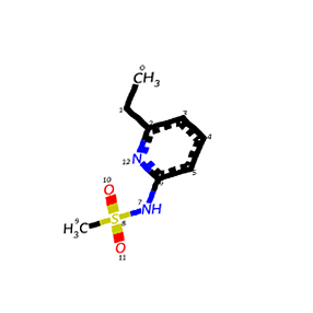 CCc1cccc(NS(C)(=O)=O)n1